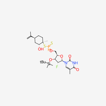 C=C(C)[C@H]1CC[C@@](C)(S[PH](=S)OC[C@H]2O[C@@H](n3cc(C)c(=O)[nH]c3=O)[C@H](F)C2O[Si](C)(C)C(C)(C)C)[C@H](O)C1